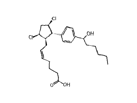 CCCCCC(O)c1ccc([C@@H]2[C@@H](C/C=C\CCCC(=O)O)[C@@H](Cl)C[C@H]2Cl)cc1